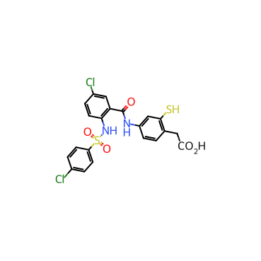 O=C(O)Cc1ccc(NC(=O)c2cc(Cl)ccc2NS(=O)(=O)c2ccc(Cl)cc2)cc1S